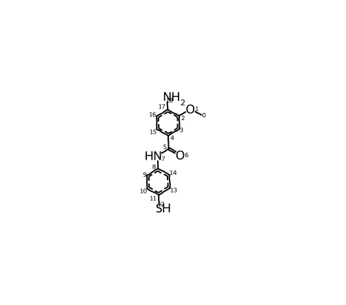 COc1cc(C(=O)Nc2ccc(S)cc2)ccc1N